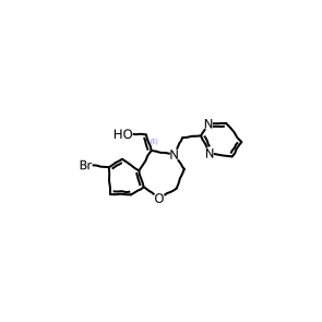 O/C=C1\c2cc(Br)ccc2OCCN1Cc1ncccn1